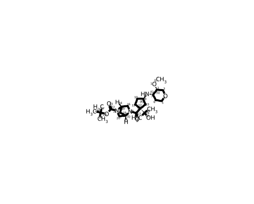 CO[C@@H]1COCC[C@@H]1N[C@@H]1CC[C@@](C(=O)N2C[C@@H]3C[C@H]2CN3C(=O)OC(C)(C)C)(C(C)(C)O)C1